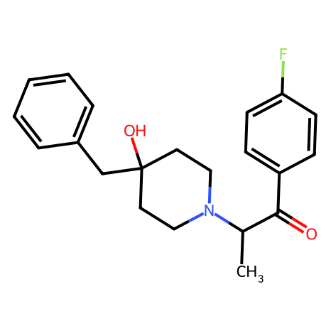 CC(C(=O)c1ccc(F)cc1)N1CCC(O)(Cc2ccccc2)CC1